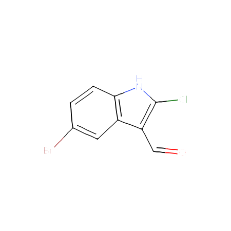 O=Cc1c(Cl)[nH]c2ccc(Br)cc12